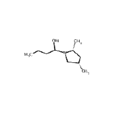 CCCC(O)N1C[C@@H](C)C[C@H]1C